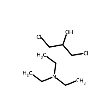 CCN(CC)CC.OC(CCl)CCl